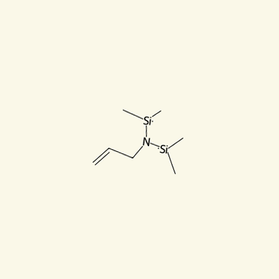 C=CCN([Si](C)C)[Si](C)C